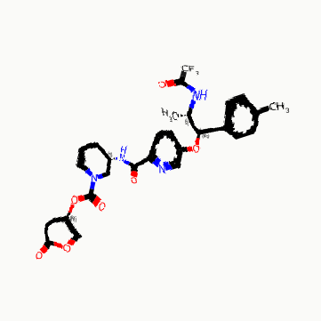 Cc1ccc([C@@H](Oc2ccc(C(=O)N[C@H]3CCCN(C(=O)O[C@H]4COC(=O)C4)C3)nc2)[C@H](C)NC(=O)C(F)(F)F)cc1